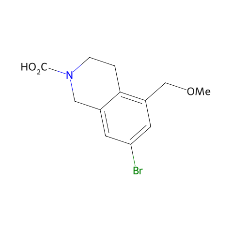 COCc1cc(Br)cc2c1CCN(C(=O)O)C2